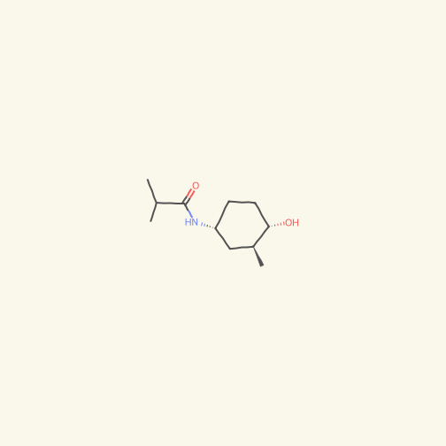 CC(C)C(=O)N[C@@H]1CC[C@H](O)[C@@H](C)C1